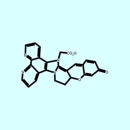 O=C1C=CC2=CC3=C4N(CCC3OC2=C1)c1c(c2cccnc2c2ncccc12)N4CC(=O)O